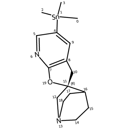 [CH3][Sn]([CH3])([CH3])[c]1cnc2c(c1)C[C@@]1(CN3CCC1CC3)O2